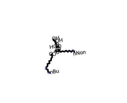 CCCC/C=C\C/C=C\CCCCCCCC(=O)OC[C@H](COP(=O)(O)OC[C@@H](O)CO)OC(=O)CCCCCCC/C=C\CCCCCCCCC